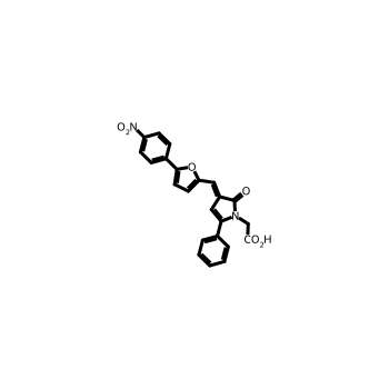 O=C(O)CN1C(=O)/C(=C/c2ccc(-c3ccc([N+](=O)[O-])cc3)o2)C=C1c1ccccc1